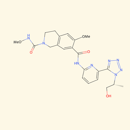 CONC(=O)N1CCc2cc(OC)c(C(=O)Nc3cccc(-c4nnnn4[C@H](C)CO)n3)cc2C1